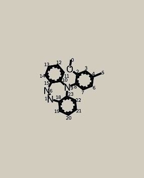 COc1cc(C)ccc1N1c2ccccc2N=Nc2ccccc21